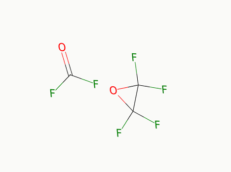 FC1(F)OC1(F)F.O=C(F)F